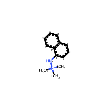 C[N+](C)(C)Nc1cccc2ccccc12